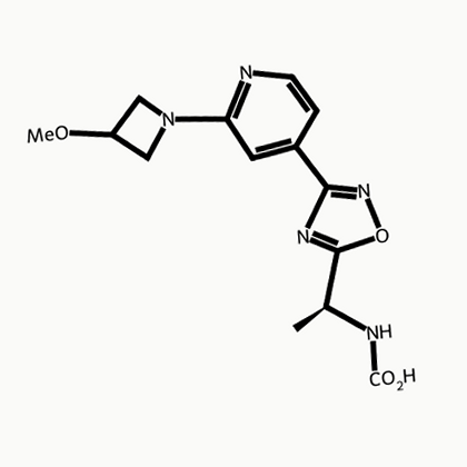 COC1CN(c2cc(-c3noc([C@H](C)NC(=O)O)n3)ccn2)C1